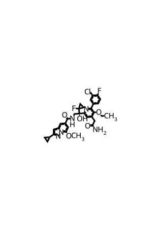 CCOc1c(CC(N)=O)cc([C@@](O)(CNC(=O)c2cc(OC)n3nc(C4CC4)cc3c2)C2(F)CC2)nc1-c1ccc(F)c(Cl)c1